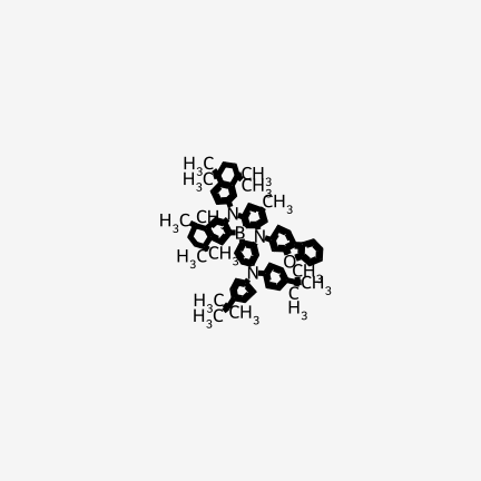 Cc1cc2c3c(c1)N(c1ccc4c(c1)C(C)(C)CCC4(C)C)c1cc4c(cc1B3c1ccc(N(c3ccc(C(C)(C)C)cc3)c3ccc(C(C)(C)C)cc3)cc1N2c1ccc2c(c1)oc1ccccc12)C(C)(C)CCC4(C)C